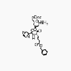 CCCCCCCCCCCCC[C@@H](CC(N)=O)OC(=O)[C@H](CCCC(=O)OCc1ccccc1)NC(=O)c1cnccn1